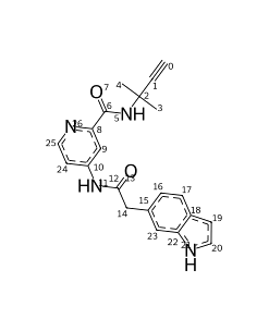 C#CC(C)(C)NC(=O)c1cc(NC(=O)Cc2ccc3cc[nH]c3c2)ccn1